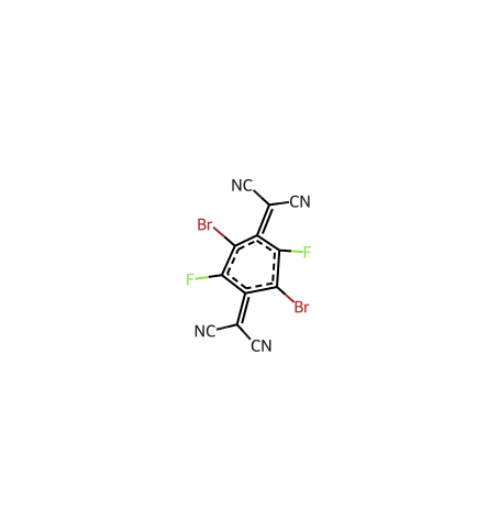 N#CC(C#N)=c1c(F)c(Br)c(=C(C#N)C#N)c(F)c1Br